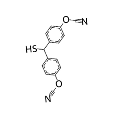 N#COc1ccc(C(S)c2ccc(OC#N)cc2)cc1